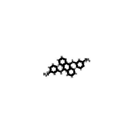 Nc1cccc(Sc2c3ccccc3c(Sc3cccc(N)c3)c3ccccc23)c1